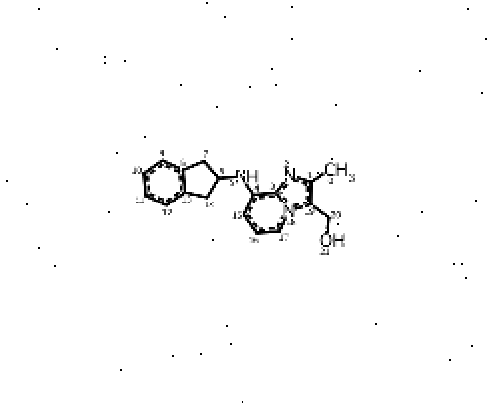 Cc1nc2c(NC3Cc4ccccc4C3)cccn2c1CO